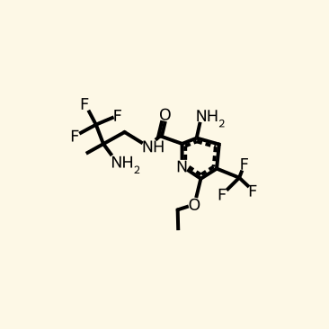 CCOc1nc(C(=O)NCC(C)(N)C(F)(F)F)c(N)cc1C(F)(F)F